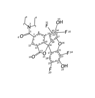 CCN(CC)C(=O)c1ccc2c(c1)C(=O)OC21c2cc(F)c(O)c(F)c2Oc2c1cc(F)c(O)c2F